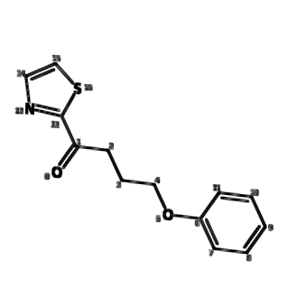 O=C(CCCOc1ccccc1)c1nccs1